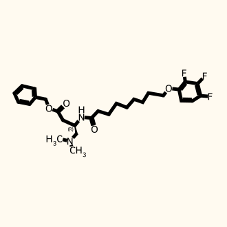 CN(C)C[C@@H](CC(=O)OCc1ccccc1)NC(=O)CCCCCCCCOc1ccc(F)c(F)c1F